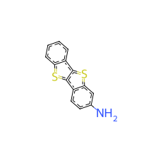 Nc1ccc2c(c1)sc1c3ccccc3sc21